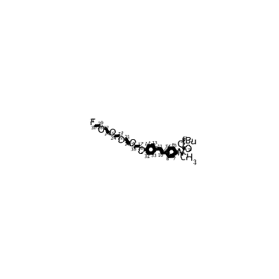 CN(C(=O)OC(C)(C)C)c1ccc(C=Cc2ccc(OCCOCCOCCOCCOCCF)cc2)cc1